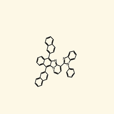 c1ccc(-n2c(-c3cccn4c3nc3c(-c5ccc6ccccc6c5)c5ccccc5c(-c5ccc6ccccc6c5)c34)nc3ccccc32)cc1